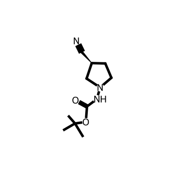 CC(C)(C)OC(=O)NN1CC[C@H](C#N)C1